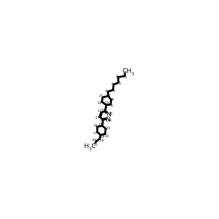 CCCCCCCC1CCC(c2ccc(C3CCC(CCC)CC3)nn2)CC1